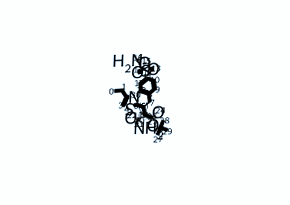 CCc1csc([C@@H](Cc2ccc(S(=O)(=O)ON)cc2)[C@@H](C(N)=O)C(=O)OC(C)(C)C)n1